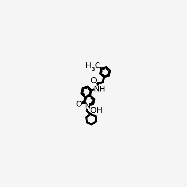 Cc1cccc(CC(=O)Nc2cccc3c(=O)n(CC4(O)CCCCC4)ccc23)c1